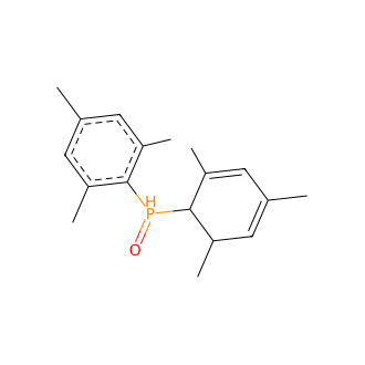 CC1=CC(C)C([PH](=O)c2c(C)cc(C)cc2C)C(C)=C1